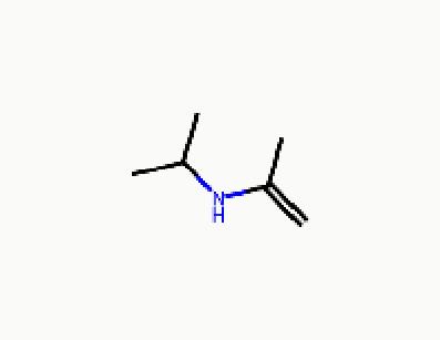 C=C(C)NC(C)C